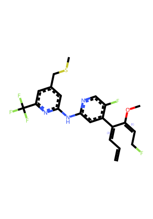 C=C/C=C(\C(=C/CF)OC)c1cc(Nc2cc(CSC)cc(C(F)(F)F)n2)ncc1F